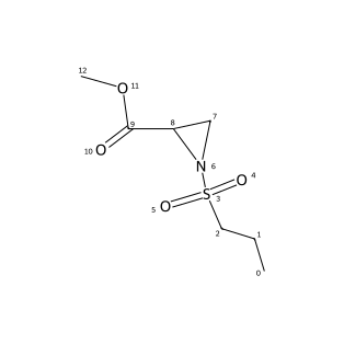 CCCS(=O)(=O)N1CC1C(=O)OC